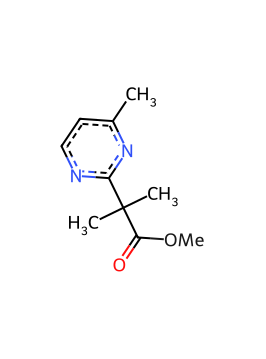 COC(=O)C(C)(C)c1nccc(C)n1